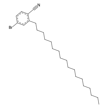 CCCCCCCCCCCCCCCCCCc1cc(Br)ccc1C#N